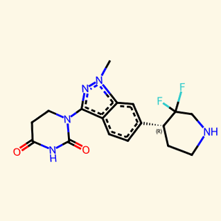 Cn1nc(N2CCC(=O)NC2=O)c2ccc([C@H]3CCNCC3(F)F)cc21